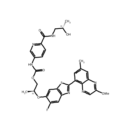 COc1cnc2c(-c3nc4cc(F)c(O[C@@H](C)COC(=O)Nc5ccc(C(=O)NC[C@H](C)O)nc5)cc4s3)cc(C)cc2n1